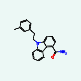 Cc1cccc(CCn2c3ccc[c]c3c3c(C(N)=O)cccc32)c1